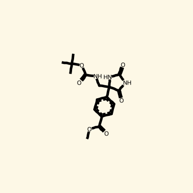 COC(=O)c1ccc(C2(CNC(=O)OC(C)(C)C)NC(=O)NC2=O)cc1